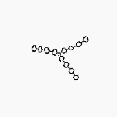 c1ccc(-c2ccc(-c3ccc(-c4ccc(-n5c6ccc(-c7ccc(-c8ccc(-c9ccccc9)cc8)cc7)cc6c6cc(-c7ccc(-c8ccc(-c9ccccc9)cc8)cc7)ccc65)cc4)cc3)cc2)cc1